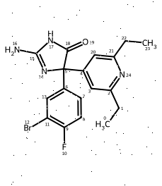 CCc1cc(C2(c3ccc(F)c(Br)c3)N=C(N)NC2=O)cc(CC)n1